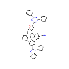 N#Cc1ccc2c(c1)-c1c(ccc3oc(-c4nc(-c5ccccc5)nc(-c5ccccc5)n4)cc13)C21c2ccccc2-c2cc(-c3nc4ccccc4n3-c3ccccc3)ccc21